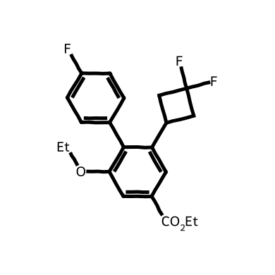 CCOC(=O)c1cc(OCC)c(-c2ccc(F)cc2)c(C2CC(F)(F)C2)c1